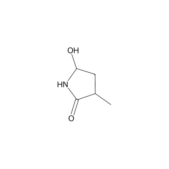 CC1CC(O)NC1=O